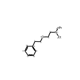 CCCN(CC)CCOCCc1ccccc1